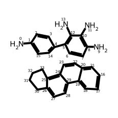 Nc1ccc(-c2ccc(N)c(N)c2N)cc1.c1ccc2c(c1)ccc1c3c(ccc12)CCCC3